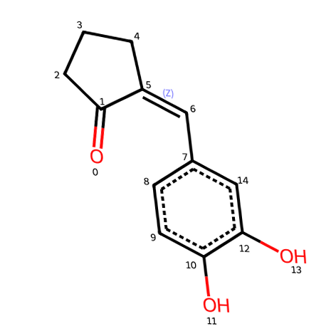 O=C1CCC/C1=C/c1ccc(O)c(O)c1